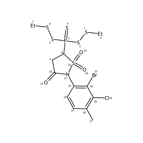 CCSSP(=S)(SSCC)C1CC(=O)N(c2ccc(C)c(Cl)c2Br)S1(=O)=O